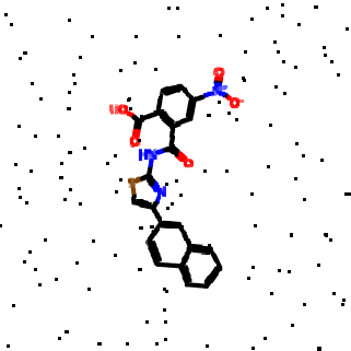 O=C(O)c1ccc([N+](=O)[O-])cc1C(=O)Nc1nc(-c2ccc3ccccc3c2)cs1